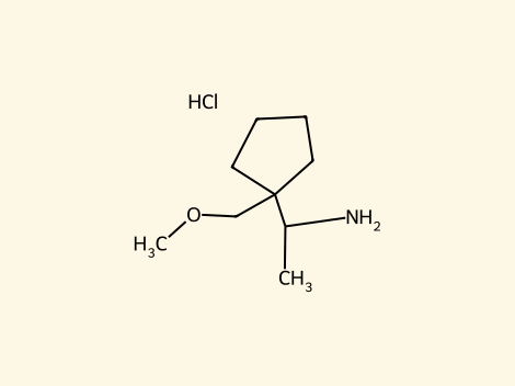 COCC1(C(C)N)CCCC1.Cl